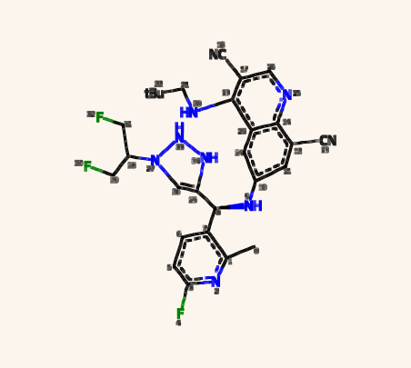 Cc1nc(F)ccc1[C@H](Nc1cc(C#N)c2ncc(C#N)c(NCC(C)(C)C)c2c1)C1=CN(C(CF)CF)NN1